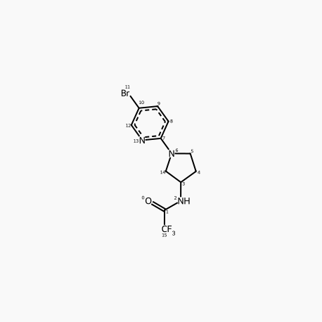 O=C(NC1CCN(c2ccc(Br)cn2)C1)C(F)(F)F